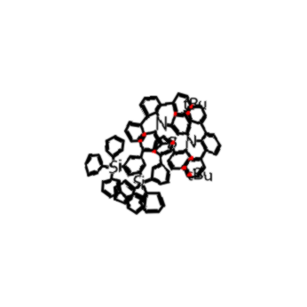 CC(C)(C)c1ccc2c(c1)N(c1c(-c3ccccc3)cccc1-c1ccccc1)c1cc(C(C)(C)C)cc3c1B2c1cc(-c2cc([Si](c4ccccc4)(c4ccccc4)c4cccc(-c5ccccc5)c4)cc([Si](c4ccccc4)(c4ccccc4)c4cccc(-c5ccccc5)c4)c2)ccc1N3c1c(-c2ccccc2)cccc1-c1ccccc1